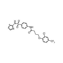 O=C(CCCOc1ccc(C(F)(F)F)cc1Cl)Nc1ccc(S(=O)(=O)Nc2nccs2)cc1